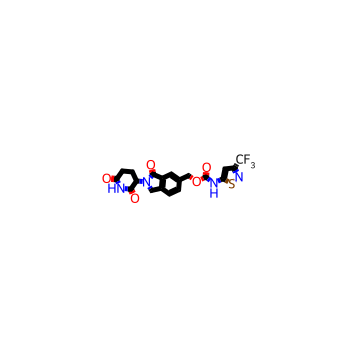 O=C1CCC(N2Cc3ccc(COC(=O)Nc4cc(C(F)(F)F)ns4)cc3C2=O)C(=O)N1